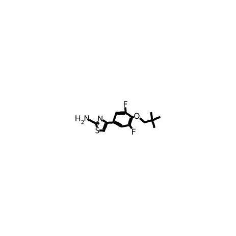 CC(C)(C)COc1c(F)cc(-c2csc(N)n2)cc1F